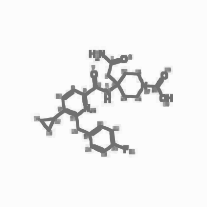 NC(=O)CC1(NC(=O)c2ccc(C3CC3)c(Cc3ccc(F)cc3)n2)CCN(C(=O)O)CC1